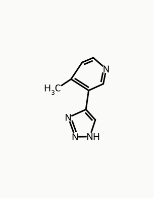 Cc1ccncc1-c1c[nH]nn1